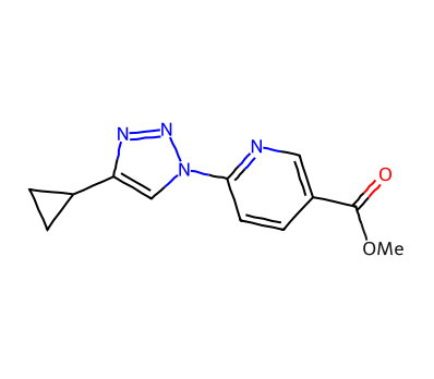 COC(=O)c1ccc(-n2cc(C3CC3)nn2)nc1